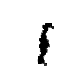 C=CC(=O)OCCCCCc1ccc(OC(=O)c2ccc(OC(=O)c3ccc(OCCCCOC(=O)C=C)c(F)c3F)c(C(F)(F)F)c2C(F)(F)F)cc1